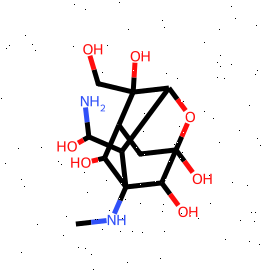 CNC12C(O)C3CC(O)(OC(C1C(N)O)C3(O)CO)C2O